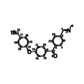 C/N=C/c1ccc(C(=O)c2ccc(Oc3ccc(C(C)(C)C)cc3)cc2)cc1